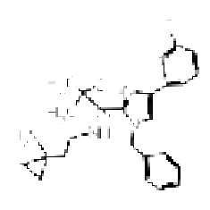 CC(C)(C)[C@@H](NCCC1(N)CC1)c1nc(-c2cccc(F)c2)cn1Cc1ccccc1